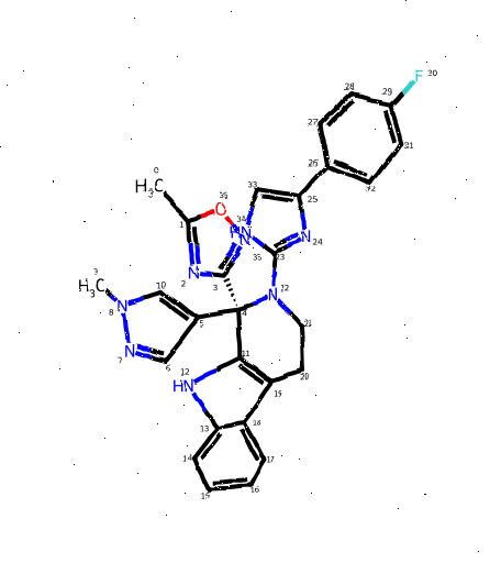 Cc1nc([C@@]2(c3cnn(C)c3)c3[nH]c4ccccc4c3CCN2c2nc(-c3ccc(F)cc3)c[nH]2)no1